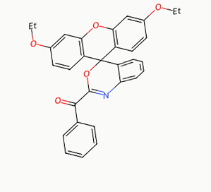 CCOc1ccc2c(c1)Oc1cc(OCC)ccc1C21OC(C(=O)c2ccccc2)=Nc2ccccc21